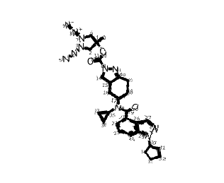 CC(CN=[N+]=[N-])(CN=[N+]=[N-])OC(=O)N1CC2CC(N(C(=O)c3cccc4c3cnn4C3CCCC3)C3CC3)CCC2=N1